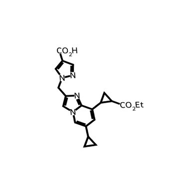 CCOC(=O)C1CC1c1cc(C2CC2)cn2cc(Cn3cc(C(=O)O)cn3)nc12